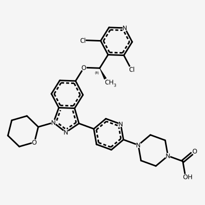 C[C@@H](Oc1ccc2c(c1)c(-c1ccc(N3CCN(C(=O)O)CC3)nc1)nn2C1CCCCO1)c1c(Cl)cncc1Cl